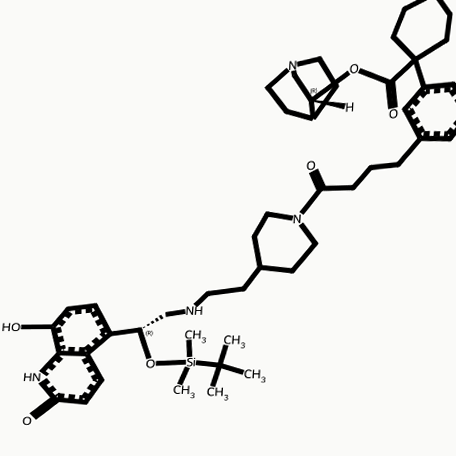 CC(C)(C)[Si](C)(C)O[C@@H](CNCCC1CCN(C(=O)CCCc2cccc(C3(C(=O)O[C@H]4CN5CCC4CC5)CCCCC3)c2)CC1)c1ccc(O)c2[nH]c(=O)ccc12